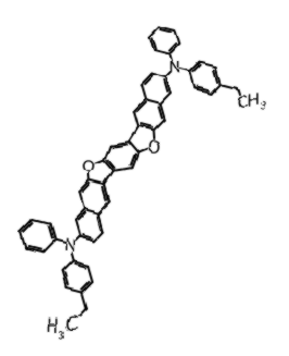 CCc1ccc(N(c2ccccc2)c2ccc3cc4c(cc3c2)oc2cc3c(cc24)oc2cc4cc(N(c5ccccc5)c5ccc(CC)cc5)ccc4cc23)cc1